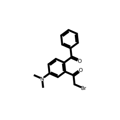 CN(C)c1ccc(C(=O)c2ccccc2)c(C(=O)CBr)c1